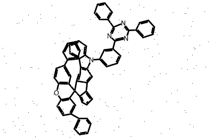 c1ccc(-c2ccc3c(c2)C2(c4cc(-c5ccccc5)ccc4O3)c3ccccc3-c3cc4c(cc32)c2ccccc2n4-c2cccc(-c3nc(-c4ccccc4)nc(-c4ccccc4)n3)c2)cc1